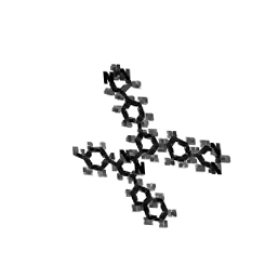 Cc1ccc(-c2cc(-c3ccc4ccccc4c3)nc(-c3cc(-c4ccc(-c5cncnc5)cc4)cc(-c4ccc(-c5cncnc5)cc4)c3)n2)cc1